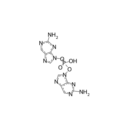 Nc1ncc2ncn(OP(=O)(O)On3cnc4cnc(N)nc43)c2n1